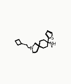 CNC1(c2cccs2)CCC2(CCN(CCC3CCC3)C2)CC1